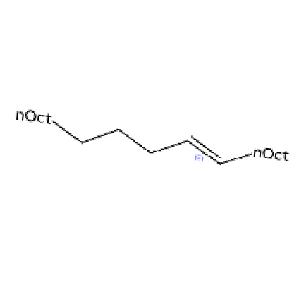 [CH2]CCCCCCC/C=C/CCCCCCCCCC[CH2]